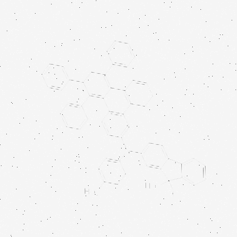 CC1=CC=C(N(c2ccc3c(c2)C(C)(C)c2ccccc2-3)c2ccc3c4c(c5c(c3c2)CCC=C5)=C(c2ccccc2)CC(c2ccccc2)C=4c2ccccc2)CC1